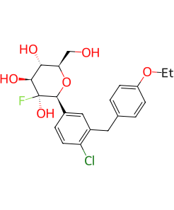 CCOc1ccc(Cc2cc([C@@H]3O[C@H](CO)[C@@H](O)[C@H](O)[C@]3(O)F)ccc2Cl)cc1